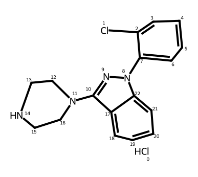 Cl.Clc1ccccc1-n1nc(N2CCNCC2)c2ccccc21